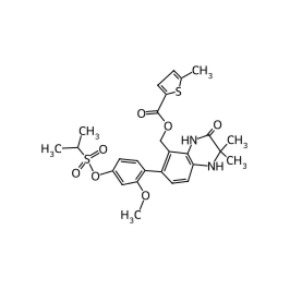 COc1cc(OS(=O)(=O)C(C)C)ccc1-c1ccc2c(c1COC(=O)c1ccc(C)s1)NC(=O)C(C)(C)N2